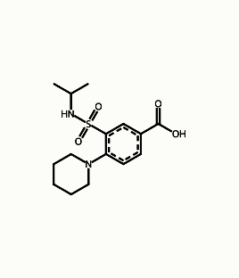 CC(C)NS(=O)(=O)c1cc(C(=O)O)ccc1N1CCCCC1